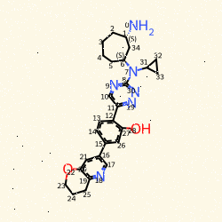 N[C@H]1CCCC[C@H](N(c2ncc(-c3ccc(-c4cnc5c(c4)OCCC5)cc3O)nn2)C2CC2)C1